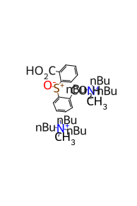 CCCC[N+](C)(CCCC)CCCC.CCCC[N+](C)(CCCC)CCCC.O=C(O)c1ccccc1[S+]([O-])c1ccccc1C(=O)O